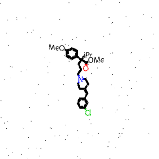 COC(=O)C(CCCN1CCC(=Cc2cccc(Cl)c2)CC1)(c1ccc(OC)cc1)C(C)C